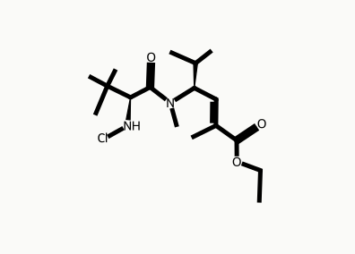 CCOC(=O)/C(C)=C/[C@H](C(C)C)N(C)C(=O)[C@@H](NCl)C(C)(C)C